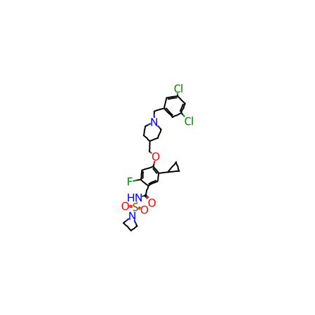 O=C(NS(=O)(=O)N1CCC1)c1cc(C2CC2)c(OCC2CCN(Cc3cc(Cl)cc(Cl)c3)CC2)cc1F